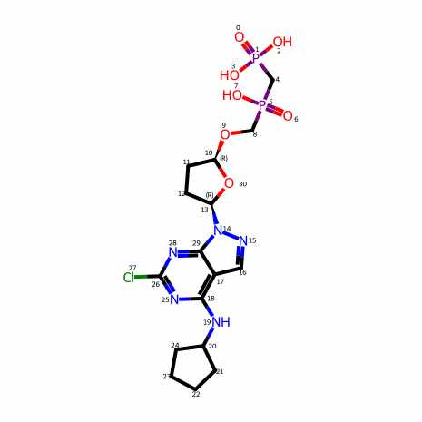 O=P(O)(O)CP(=O)(O)CO[C@@H]1CC[C@H](n2ncc3c(NC4CCCC4)nc(Cl)nc32)O1